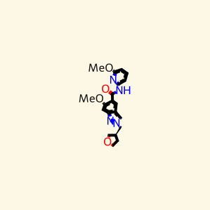 COc1cccc(NC(=O)c2cc3cn(C[C@H]4CCOC4)nc3cc2OC)n1